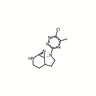 Cc1nc(N2CCC3CCNC4=N[C@]432)nnc1Cl